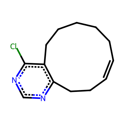 Clc1ncnc2c1CCCCC/C=C\CC2